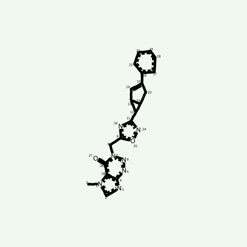 Cn1cnc2nnn(Cc3nc(C4C5C=C(c6ccccc6)CC54)no3)c(=O)c21